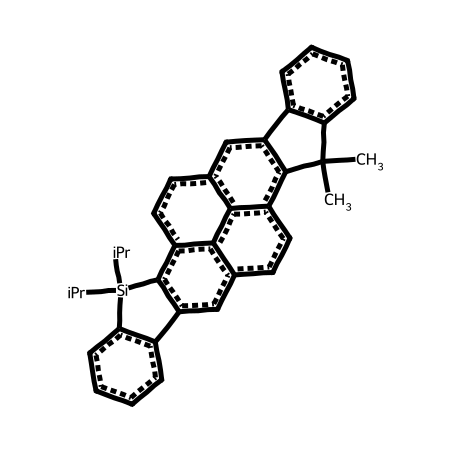 CC(C)[Si]1(C(C)C)c2ccccc2-c2cc3ccc4c5c(cc6ccc(c21)c3c64)-c1ccccc1C5(C)C